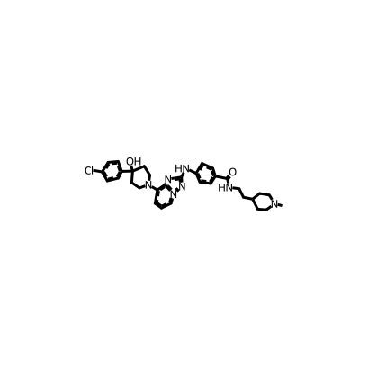 CN1CCC(CCNC(=O)c2ccc(Nc3nc4c(N5CCC(O)(c6ccc(Cl)cc6)CC5)cccn4n3)cc2)CC1